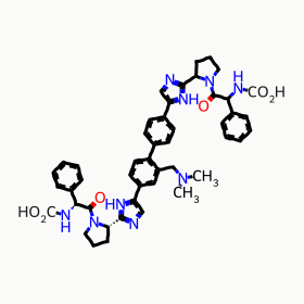 CN(C)Cc1cc(-c2cnc([C@@H]3CCCN3C(=O)[C@H](NC(=O)O)c3ccccc3)[nH]2)ccc1-c1ccc(-c2cnc(C3CCCN3C(=O)C(NC(=O)O)c3ccccc3)[nH]2)cc1